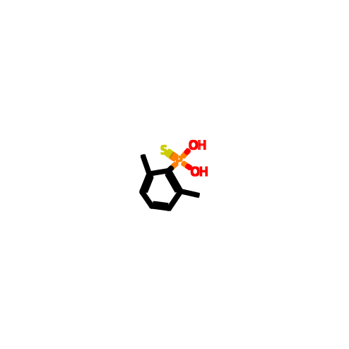 Cc1cccc(C)c1P(O)(O)=S